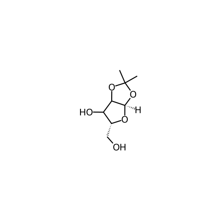 CC1(C)OC2C(O)[C@@H](CO)O[C@@H]2O1